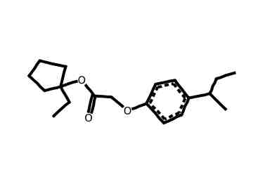 CCC(C)c1ccc(OCC(=O)OC2(CC)CCCC2)cc1